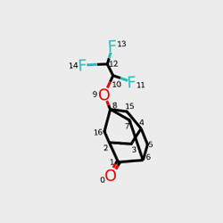 O=C1C2CC3CC1CC(OC(F)C(F)F)(C3)C2